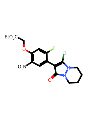 CCOC(=O)COc1cc(F)c(-c2c(Cl)n3n(c2=O)CCCC3)cc1[N+](=O)[O-]